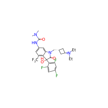 CCN(CC)[C@H]1C[C@H](CN2C(=O)C(O)(c3c(F)cc(F)cc3F)c3c2cc(NC(=O)N(C)C)cc3C(F)(F)F)C1